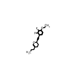 CCCC1=COC(C#Cc2ccc(OCC)c(F)c2F)CC1